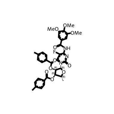 COc1cc(C(=O)Nc2nc(=O)n([C@@H]3O[C@H](C)[C@@H](OC(=O)c4ccc(C)cc4)[C@H]3OC(=O)c3ccc(C)cc3)cc2F)cc(OC)c1OC